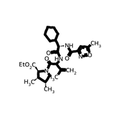 C=C(C)C(NC(=O)[C@@H](NC(=O)c1cc(C)on1)C1CCCCC1)C(=O)N1C[C@H](C)[C@H](C)[C@H]1C(=O)OCC